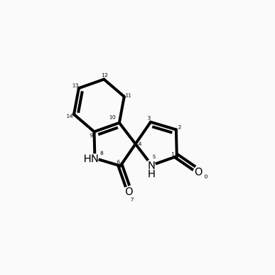 O=C1C=CC2(N1)C(=O)NC1=C2CCC=C1